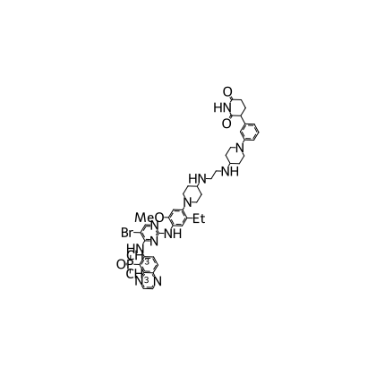 CCc1cc(Nc2ncc(Br)c(Nc3ccc4nccnc4c3P(C)(C)=O)n2)c(OC)cc1N1CCC(NCCNC2CCN(c3cccc(C4CCC(=O)NC4=O)c3)CC2)CC1